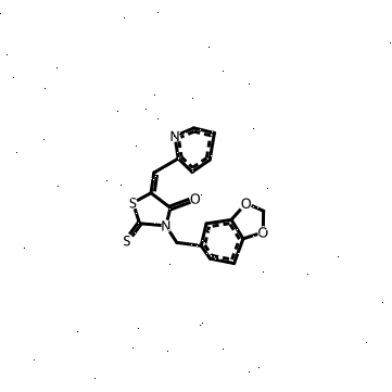 O=C1/C(=C\c2ccccn2)SC(=S)N1Cc1ccc2c(c1)OCO2